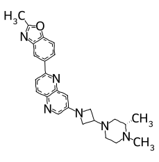 Cc1nc2cc(-c3ccc4ncc(N5CC(N6CCN(C)[C@@H](C)C6)C5)cc4n3)ccc2o1